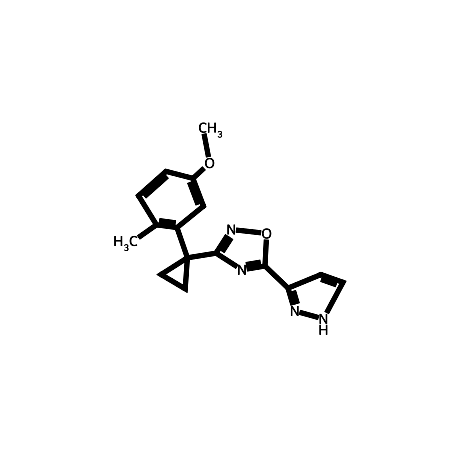 COc1ccc(C)c(C2(c3noc(-c4cc[nH]n4)n3)CC2)c1